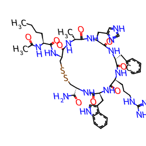 CCCC[C@H](NC(C)=O)C(=O)N[C@@H]1CSSC[C@@H](C(N)=O)NC(=O)[C@H](Cc2c[nH]c3ccccc23)NC(=O)[C@H](CCCNC(=N)N)NC(=O)[C@@H](Cc2ccccc2)NC(=O)[C@H](Cc2c[nH]cn2)NC(=O)[C@H](C)NC1=O